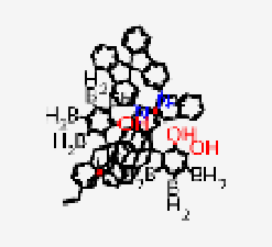 Bc1c(B)c(B)c(C2(Cc3ccc(C=C)cc3)c3ccccc3-c3ccc(N(c4ccccc4)c4ccc5c(c4)C4(c6ccccc6-c6ccc(N(c7ccccc7)c7ccc8c(c7)C7(c9c(B)c(B)c(B)c(O)c9O)CC9=C[C@@H](C%10=CCCC7=C%108)C(C=C)CC9)cc64)c4ccccc4-5)cc32)c(O)c1B